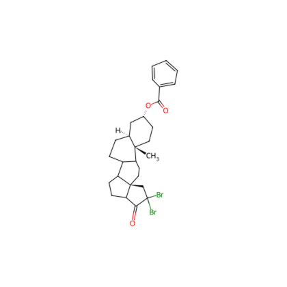 C[C@]12CC[C@@H](OC(=O)c3ccccc3)C[C@@H]1CCC1C3CCC4C(=O)C(Br)(Br)C[C@@]43CCC12